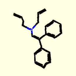 C=CCN(C=C(c1ccccc1)c1ccccc1)CC=C